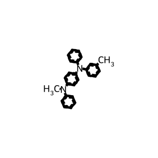 Cc1cccc(N(c2ccccc2)c2ccc(N(C)c3ccccc3)cc2)c1